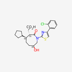 O=C(O)C[C@@H]1C(=O)N(c2nc(-c3ccccc3Cl)cs2)C[C@@H](O)CC[C@H]1C1CCCC1